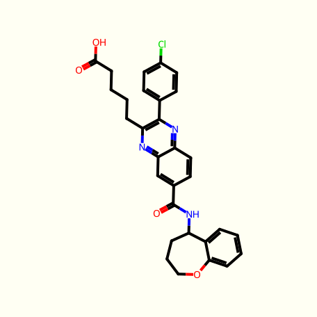 O=C(O)CCCCc1nc2cc(C(=O)NC3CCCOc4ccccc43)ccc2nc1-c1ccc(Cl)cc1